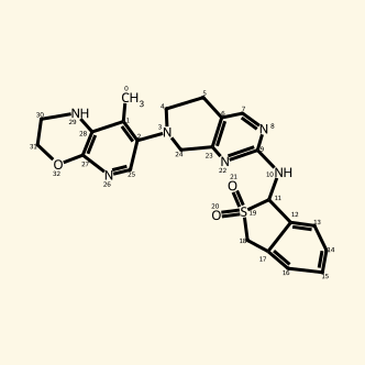 Cc1c(N2CCc3cnc(NC4c5ccccc5CS4(=O)=O)nc3C2)cnc2c1NCCO2